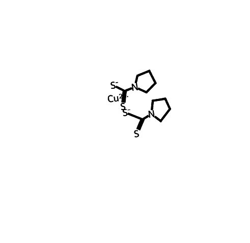 S=C([S-])N1CCCC1.S=C([S-])N1CCCC1.[Cu+2]